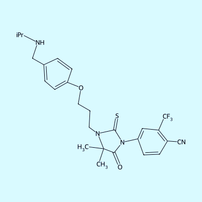 CC(C)NCc1ccc(OCCCN2C(=S)N(c3ccc(C#N)c(C(F)(F)F)c3)C(=O)C2(C)C)cc1